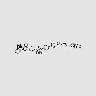 COCCOCCOc1ccc(-c2ccc(-c3nnc(-c4ccc(C(=O)On5nnc6ccccc65)cc4)s3)cc2)cc1